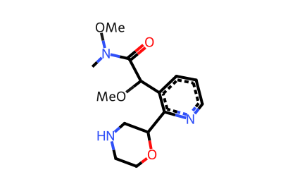 COC(C(=O)N(C)OC)c1cccnc1C1CNCCO1